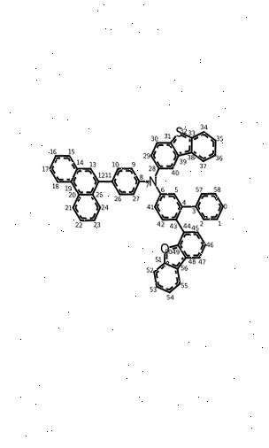 c1ccc(-c2cc(N(c3ccc(-c4cc5ccccc5c5ccccc45)cc3)c3ccc4sc5ccccc5c4c3)ccc2-c2cccc3c2oc2ccccc23)cc1